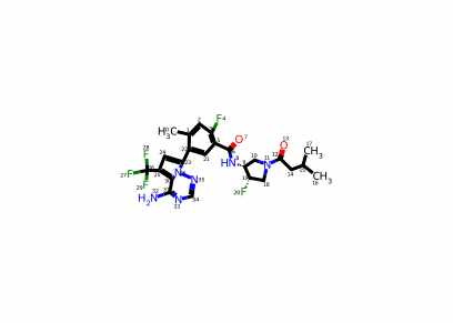 Cc1cc(F)c(C(=O)N[C@@H]2CN(C(=O)CC(C)C)C[C@@H]2F)cc1-c1cc(C(F)(F)F)c2c(N)ncnn12